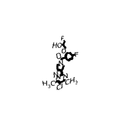 Cc1nc2c3c(nn2c(C)c1Cl)CN(C(=O)c1ccc(F)cc1OCC(O)CF)C3